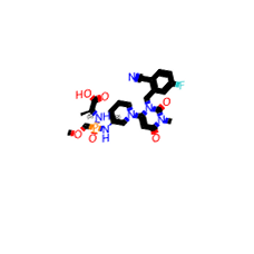 COCP(=O)(N[C@@H]1CCCN(c2cc(=O)n(C)c(=O)n2Cc2cc(F)ccc2C#N)C1)N[C@@H](C)C(=O)O